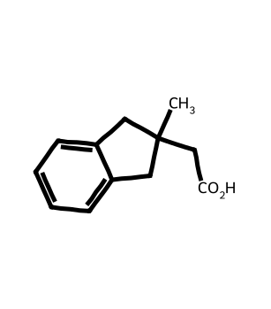 CC1(CC(=O)O)Cc2ccccc2C1